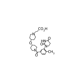 Cc1ccc(C(=O)N2CCC(OC3CCN(CCC(=O)O)CC3)CC2)cc1N1CCC(=O)NC1=O